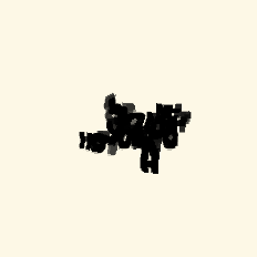 CC=CC(=O)OC(OCCCO)N1CNc2c1nc(N)[nH]c2=O